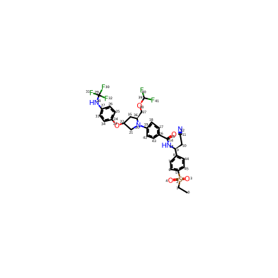 CCS(=O)(=O)c1ccc([C@H](CC#N)NC(=O)c2ccc(N3CC(Oc4ccc(NC(F)(F)F)cc4)C[C@H]3COC(F)F)cc2)cc1